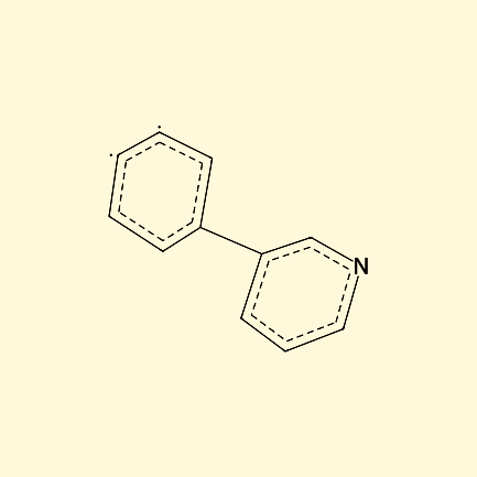 [c]1[c]cc(-c2cccnc2)cc1